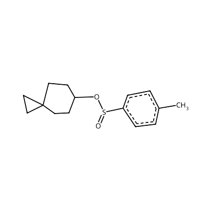 Cc1ccc(S(=O)OC2CCC3(CC2)CC3)cc1